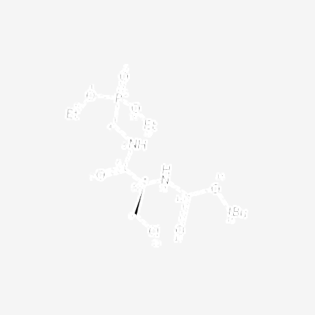 CCOP(=O)(CNC(=O)[C@H](CCl)NC(=O)OC(C)(C)C)OCC